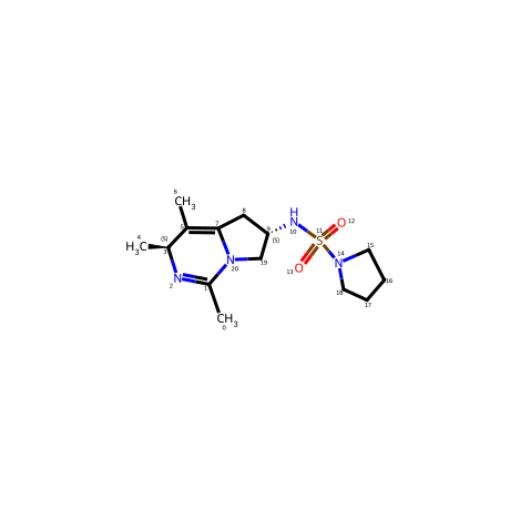 CC1=N[C@@H](C)C(C)=C2C[C@H](NS(=O)(=O)N3CCCC3)CN12